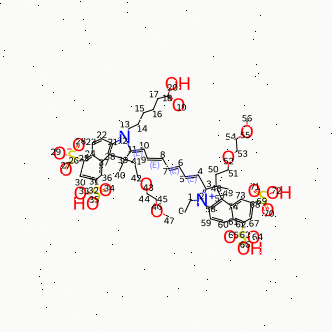 CC[N+]1=C(/C=C/C=C/C=C/C=C2/N(CCCCCC(=O)O)c3ccc4c(S(=O)(=O)[O-])cc(S(=O)(=O)O)cc4c3C2(C)CCOCCOC)C(C)(CCOCCOC)c2c1ccc1c(S(=O)(=O)O)cc(S(=O)(=O)O)cc21